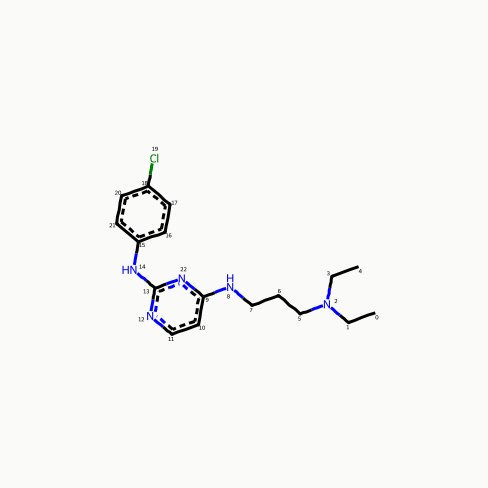 CCN(CC)CCCNc1ccnc(Nc2ccc(Cl)cc2)n1